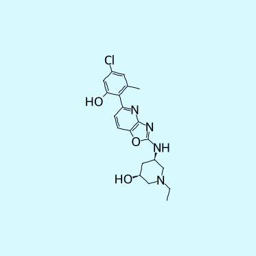 CCN1C[C@@H](O)C[C@@H](Nc2nc3nc(-c4c(C)cc(Cl)cc4O)ccc3o2)C1